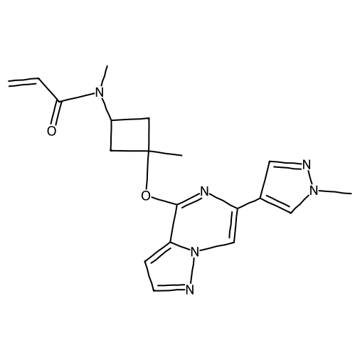 C=CC(=O)N(C)C1CC(C)(Oc2nc(-c3cnn(C)c3)cn3nccc23)C1